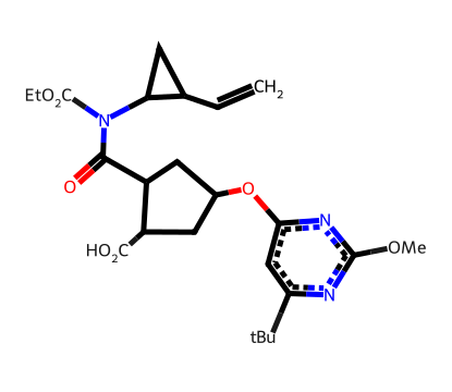 C=CC1CC1N(C(=O)OCC)C(=O)C1CC(Oc2cc(C(C)(C)C)nc(OC)n2)CC1C(=O)O